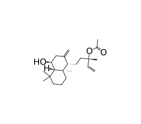 C=C[C@](C)(CC[C@H]1C(=C)C[C@H](O)[C@H]2C(C)(C)CCC[C@]12C)OC(C)=O